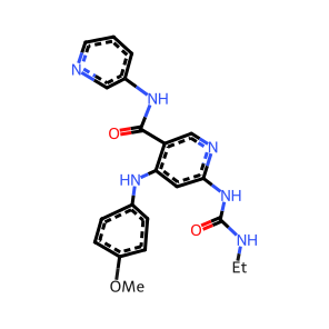 CCNC(=O)Nc1cc(Nc2ccc(OC)cc2)c(C(=O)Nc2cccnc2)cn1